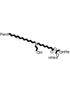 CCCCC/C=C/C/C=C/CCCCCCCCN(CCCO)CCCCCCCC(=O)OC(COCCCCCC)COCCCCCC